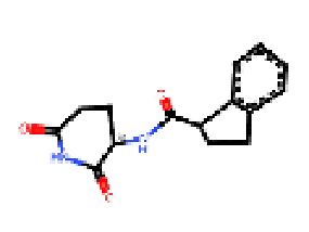 O=C1CC[C@@H](NC(=O)C2CCc3ccccc32)C(=O)N1